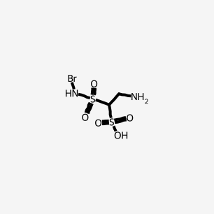 NCC(S(=O)(=O)O)S(=O)(=O)NBr